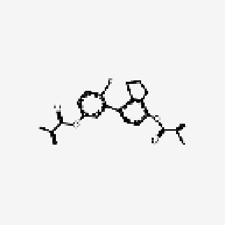 C=C(C)C(=O)Oc1ccc(F)c(-c2ccc(OC(=O)C(=C)C)c3c2CCC3)c1